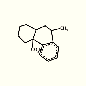 CC1CC2CCCCC2(C(=O)O)c2ccccc21